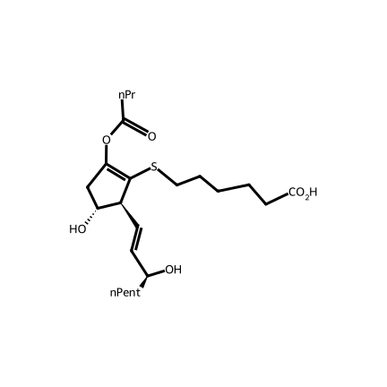 CCCCC[C@H](O)/C=C/[C@@H]1C(SCCCCCC(=O)O)=C(OC(=O)CCC)C[C@H]1O